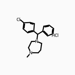 CN1CCCN(C(c2ccccc2)c2ccc(Cl)cc2)CC1.Cl